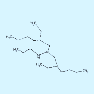 CCCCC(CC)CN(CC(CC)CCCC)NCCC